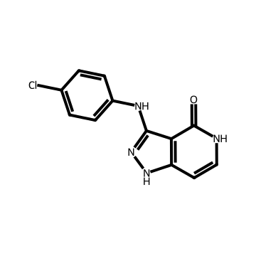 O=c1[nH]ccc2[nH]nc(Nc3ccc(Cl)cc3)c12